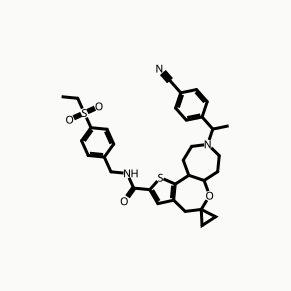 CCS(=O)(=O)c1ccc(CNC(=O)c2cc3c(s2)C2CCN(C(C)c4ccc(C#N)cc4)CCC2OC2(CC2)C3)cc1